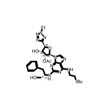 CCn1nnc([C@H]2O[C@@H](n3cnc4c(NCCC(C)(C)C)nc(N[C@H](CO)Cc5ccccc5)nc43)[C@H](OC(C)=O)[C@@H]2O)n1